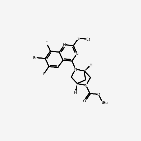 CCSc1nc(N2C[C@@H]3C[C@H]2CN3C(=O)OC(C)(C)C)c2cc(I)c(Br)c(F)c2n1